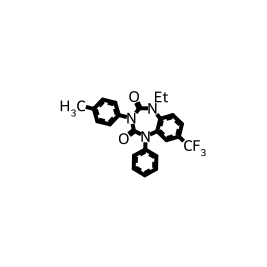 CCN1C(=O)N(c2ccc(C)cc2)C(=O)N(c2ccccc2)c2cc(C(F)(F)F)ccc21